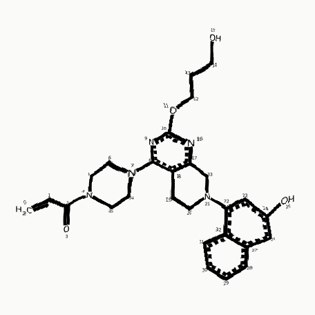 C=CC(=O)N1CCN(c2nc(OCCCO)nc3c2CCN(c2cc(O)cc4ccccc24)C3)CC1